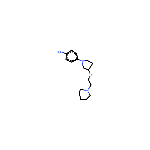 Nc1ccc(N2CCC(OCCN3CCCCC3)C2)cc1